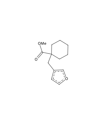 COC(=O)C1(Cc2ccoc2)CCCCC1